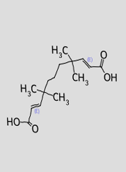 CC(C)(/C=C/C(=O)O)CCCC(C)(C)/C=C/C(=O)O